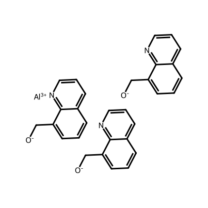 [Al+3].[O-]Cc1cccc2cccnc12.[O-]Cc1cccc2cccnc12.[O-]Cc1cccc2cccnc12